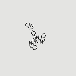 c1ccc2ncc(-c3ccc(-c4nc(-c5nccc6ccccc56)nc(-c5nccc6ccccc56)n4)cc3)cc2c1